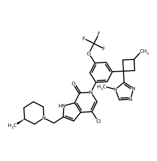 CC1CC(c2cc(OC(F)(F)F)cc(-n3cc(Cl)c4cc(CN5CCC[C@H](C)C5)[nH]c4c3=O)c2)(c2nncn2C)C1